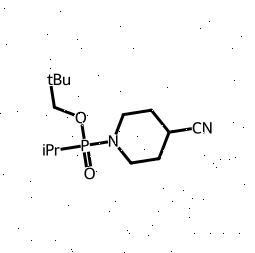 CC(C)P(=O)(OCC(C)(C)C)N1CCC(C#N)CC1